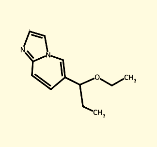 CCOC(CC)c1ccc2n[c]cn2c1